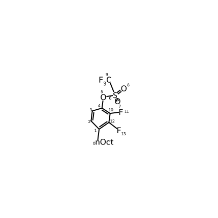 CCCCCCCCc1ccc(OS(=O)(=O)C(F)(F)F)c(F)c1F